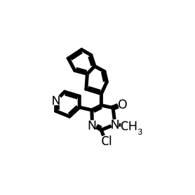 Cn1c(Cl)nc(-c2ccncc2)c(-c2ccc3ccccc3c2)c1=O